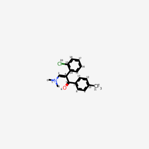 CN(C)C=C(C(=O)c1ccc(C(F)(F)F)cc1)c1ccccc1Cl